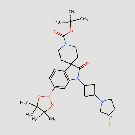 CC(C)(C)OC(=O)N1CCC2(CC1)C(=O)N(C1CC(N3CC[C@H](F)C3)C1)c1cc(B3OC(C)(C)C(C)(C)O3)ccc12